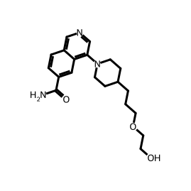 NC(=O)c1ccc2cncc(N3CCC(CCCOCCO)CC3)c2c1